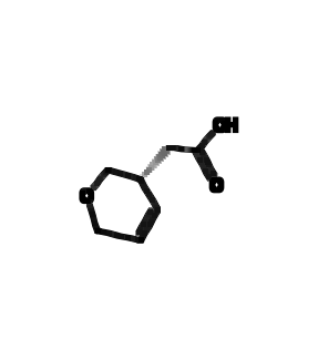 O=C(O)C[C@@H]1C=CCOC1